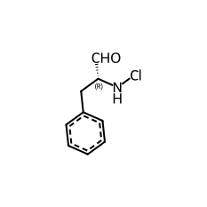 O=C[C@@H](Cc1ccccc1)NCl